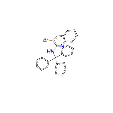 Brc1cc2ccccc2nc1NC(c1ccccc1)(c1ccccc1)c1ccccc1